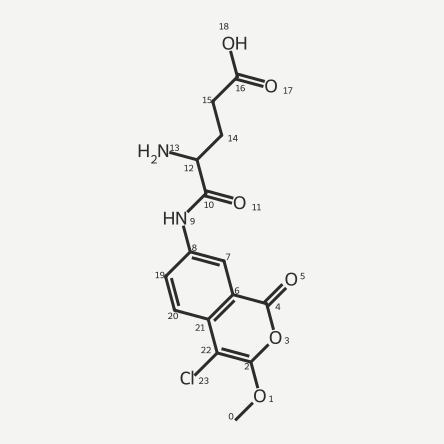 COc1oc(=O)c2cc(NC(=O)C(N)CCC(=O)O)ccc2c1Cl